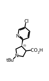 CC(C)(C)N1CC(C(=O)O)[C@H](c2ccc(Cl)cn2)C1